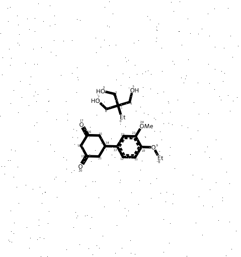 CCC(CO)(CO)CO.CCOc1ccc(C2CC(=O)CC(=O)C2)cc1OC